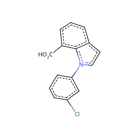 O=C(O)c1cccc2ccn(-c3cccc(Cl)c3)c12